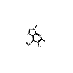 CCc1c(C)nc2c(ncn2C)c1N